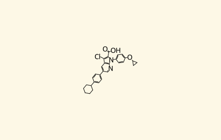 O=C(O)c1c(Cl)c2cc(-c3ccc(C4CCCCC4)cc3)cnc2n1-c1ccc(OC2CC2)cc1